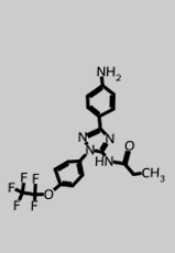 CCC(=O)Nc1nc(-c2ccc(N)cc2)nn1-c1ccc(OC(F)(F)C(F)(F)F)cc1